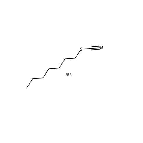 CCCCCCCSC#N.N